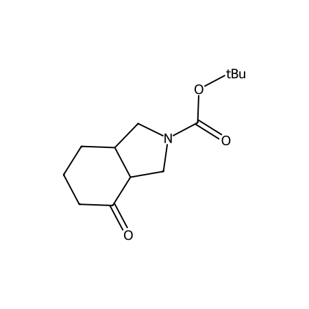 CC(C)(C)OC(=O)N1CC2CCCC(=O)C2C1